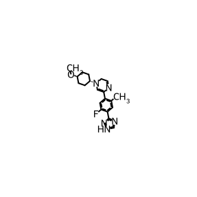 CO[C@H]1CC[C@H](N2C=C(c3cc(F)c(-c4nc[nH]n4)cc3C)N=CC2)CC1